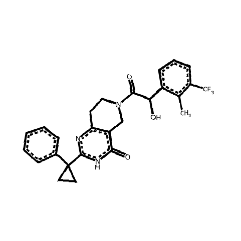 Cc1c(C(O)C(=O)N2CCc3nc(C4(c5ccccc5)CC4)[nH]c(=O)c3C2)cccc1C(F)(F)F